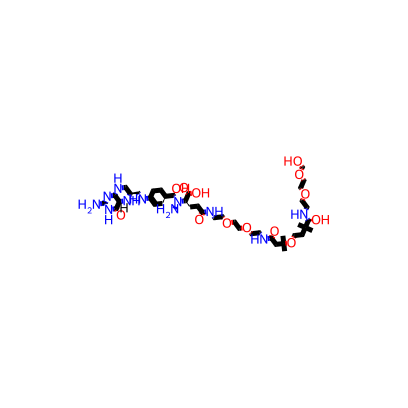 CC(C)(CC(=O)NCCOCCOCCNC(=O)CC[C@@H](C(=O)O)N(N)[C@@H](O)[C@@H]1CC=C(NC[C@@H]2CNC3N=C(N)NC(=O)[C@@H]3N2)CC1)OCCC(C)(C)[C@H](O)NCCOCCOCO